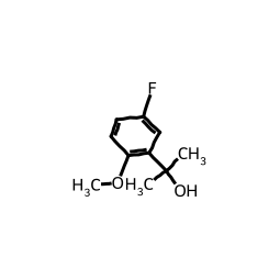 COc1ccc(F)cc1C(C)(C)O